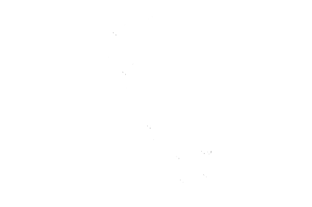 CNc1nccnc1N1CC2(C1)C(=O)N(CC1CCC(NC(=O)c3cc(Cl)cnc3C(F)F)CC1)c1cc(F)ccc12